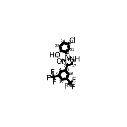 [O-][N+]1=C(c2cc(C(F)(F)F)cc(C(F)(F)F)c2)CNN1c1cc(Cl)ccc1O